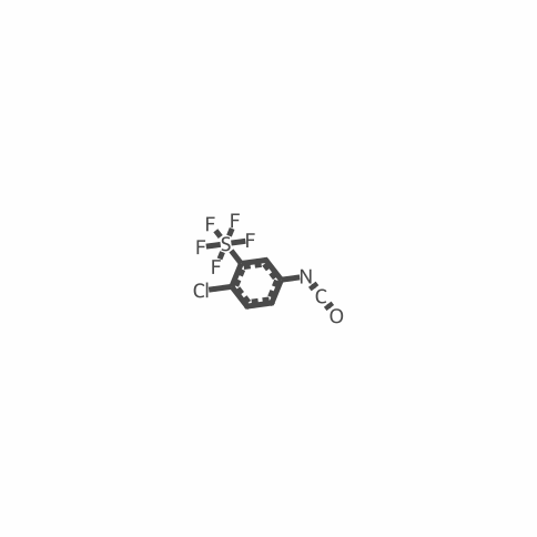 O=C=Nc1ccc(Cl)c(S(F)(F)(F)(F)F)c1